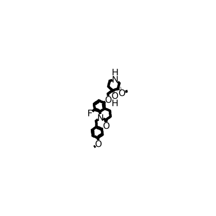 COc1ccc(CN2C(=O)CCc3c(OC[C@]4(O)CCNC[C@@H]4OC)ccc(F)c32)cc1